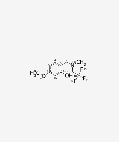 COc1ccc(CN(C)CC(F)(F)F)c(O)c1